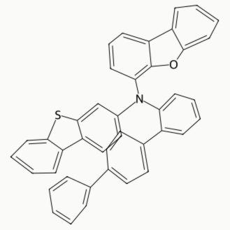 c1ccc(-c2ccc(-c3ccccc3N(c3ccc4c(c3)sc3ccccc34)c3cccc4c3oc3ccccc34)cc2)cc1